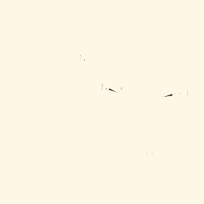 O=c1[nH]c(=O)n([C@H]2C[C@@H](O)[C@H](CO)O2)cc1-c1ccccc1